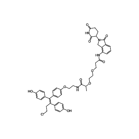 CC(OCCOCCC(=O)Nc1cccc2c1CN(C1CCC(=O)NC1=O)C2=O)C(=O)NCCOc1ccc(C(=C(CCCl)c2ccc(O)cc2)c2ccc(O)cc2)cc1